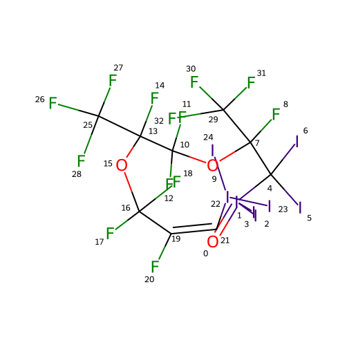 O=I(I)(I)C(I)(I)C(F)(OC(F)(F)C(F)(OC(F)(F)/C(F)=C\I(I)I)C(F)(F)F)C(F)(F)F